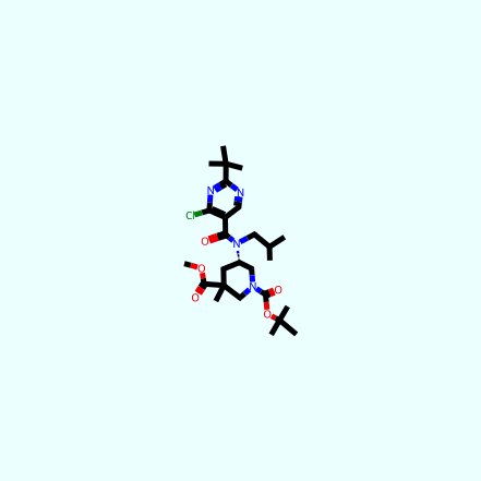 COC(=O)C1(C)C[C@H](N(CC(C)C)C(=O)c2cnc(C(C)(C)C)nc2Cl)CN(C(=O)OC(C)(C)C)C1